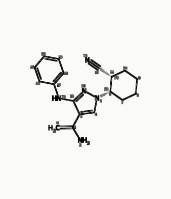 C=C(N)c1cn([C@H]2CCCC[C@H]2C#N)nc1Nc1ccccc1